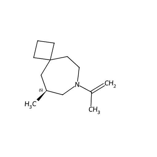 C=C(C)N1CCC2(CCC2)C[C@H](C)C1